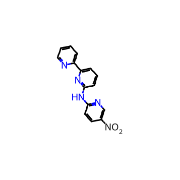 O=[N+]([O-])c1ccc(Nc2cccc(-c3ccccn3)n2)nc1